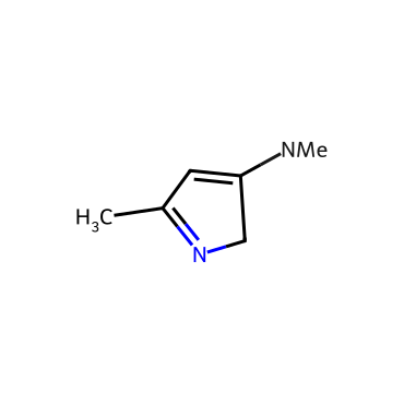 CNC1=CC(C)=NC1